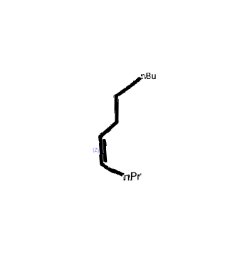 [CH2]CC/C=C\CCCCCC